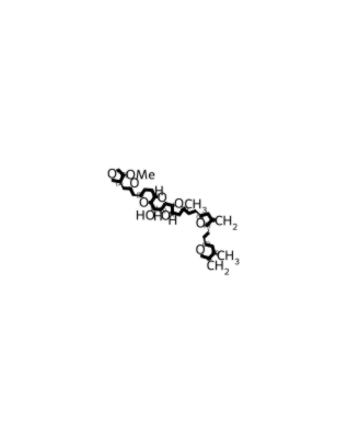 C=C1CO[C@@H](CC[C@@H]2O[C@@H](CC[C@]3(C)C[C@H]4O[C@@H]5C(O[C@H]6CC[C@H](CC(=O)C[C@H]7COC[C@@H]7OC)OC6[C@@H]5O)C4O3)CC2=C)C[C@H]1C